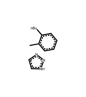 CCCCc1ccccc1C.c1c[nH]nn1